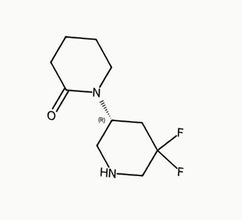 O=C1CCCCN1[C@H]1CNCC(F)(F)C1